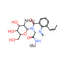 C=Nc1c(/C=C\C)cccc1C(=O)N(CC(=O)NC(C)(C)C)C1OC(CO)C(O)C(O)C1NC(C)=O